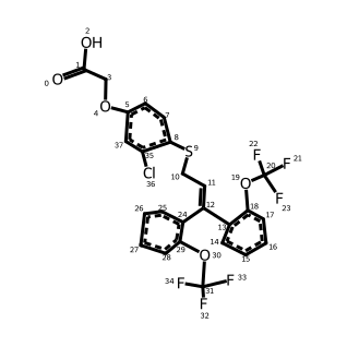 O=C(O)COc1ccc(SCC=C(c2ccccc2OC(F)(F)F)c2ccccc2OC(F)(F)F)c(Cl)c1